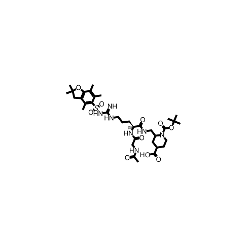 CC(=O)NCC(=O)N[C@@H](CCCNC(=N)NS(=O)(=O)c1c(C)c(C)c2c(c1C)CC(C)(C)O2)C(=O)NCC1CC(C(=O)O)CCN1C(=O)OC(C)(C)C